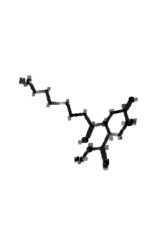 CCCCCCCC(=O)N1CC(=O)NCC1C(=O)OC